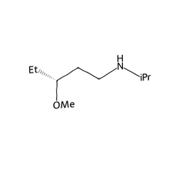 CC[C@H](CCNC(C)C)OC